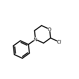 ClC1CN(c2ccccc2)CCO1